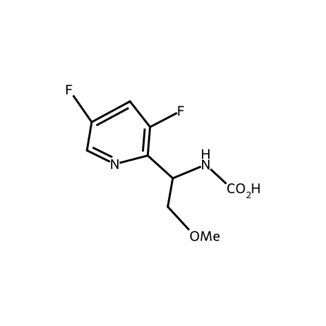 COCC(NC(=O)O)c1ncc(F)cc1F